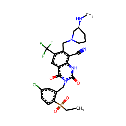 CCS(=O)(=O)c1ccc(Cl)cc1Cn1c(=O)[nH]c2c(C#N)c(CN3CCC[C@H](NC)C3)c(C(F)(F)F)cc2c1=O